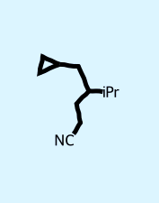 CC(C)C(CCC#N)CC1CC1